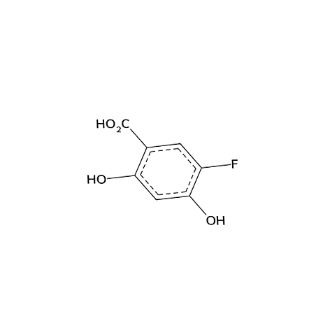 O=C(O)c1cc(F)c(O)cc1O